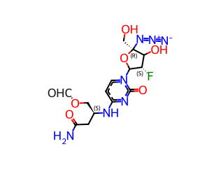 [N-]=[N+]=N[C@]1(CO)OC(n2ccc(N[C@H](COC=O)CC(N)=O)nc2=O)[C@@H](F)C1O